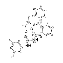 Cc1cc(C)cc(NC(=S)N[C@H](C)[C@@H]2CCC(C)C2P(c2ccccc2)c2ccccc2)c1